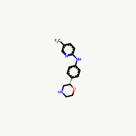 FC(F)(F)c1ccc(Nc2ccc([C@H]3CNCCO3)cc2)nc1